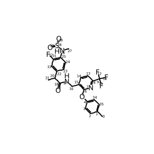 Cc1ccc(Oc2nc(C(F)(F)F)ccc2CNC(=O)C(C)c2ccc(N(C)[SH](=O)=O)c(F)c2)cc1